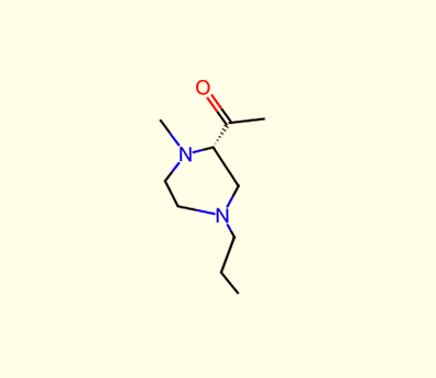 CCCN1CCN(C)[C@H](C(C)=O)C1